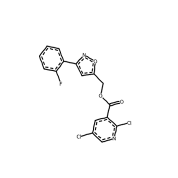 O=C(OCc1cc(-c2ccccc2F)no1)c1cc(Cl)cnc1Cl